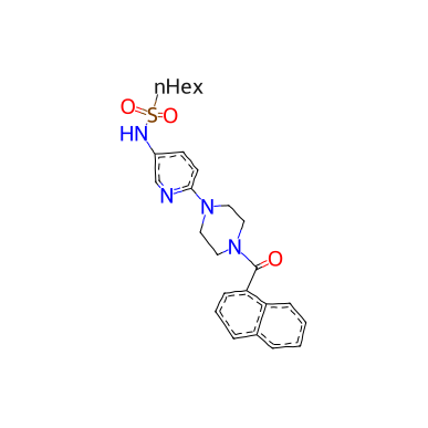 CCCCCCS(=O)(=O)Nc1ccc(N2CCN(C(=O)c3cccc4ccccc34)CC2)nc1